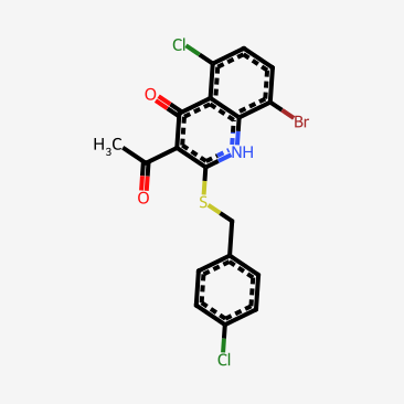 CC(=O)c1c(SCc2ccc(Cl)cc2)[nH]c2c(Br)ccc(Cl)c2c1=O